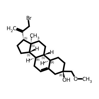 C=C(CBr)[C@H]1CC[C@H]2[C@@H]3CC=C4C[C@@](O)(COC)CC[C@@H]4[C@H]3CC[C@]12C